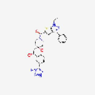 CCn1nc(-c2ccccc2)c2cc(C(=O)N3CCC4(CC3)CC(=O)c3cc(-c5nnn[nH]5)ccc3O4)sc21